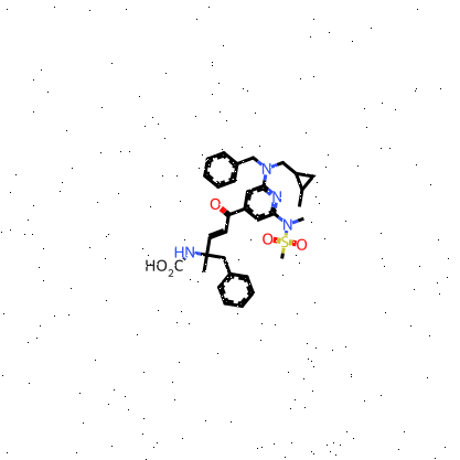 CC1CC1CN(Cc1ccccc1)c1cc(C(=O)C=CC(C)(Cc2ccccc2)NC(=O)O)cc(N(C)S(C)(=O)=O)n1